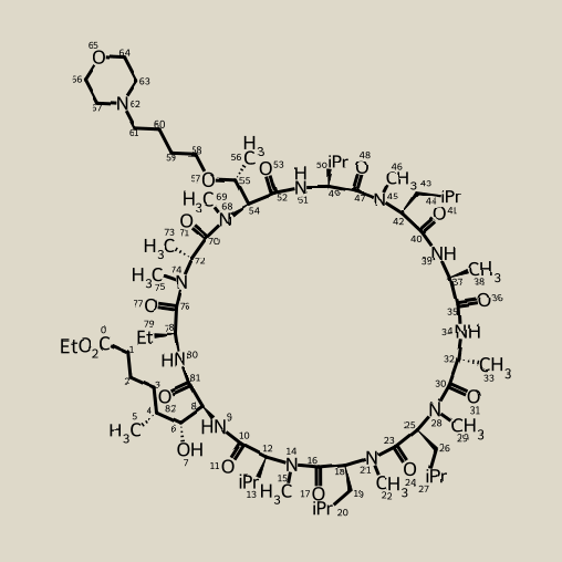 CCOC(=O)CCC[C@@H](C)[C@@H](O)[C@@H]1NC(=O)[C@H](C(C)C)N(C)C(=O)[C@H](CC(C)C)N(C)C(=O)[C@H](CC(C)C)N(C)C(=O)[C@@H](C)NC(=O)[C@H](C)NC(=O)[C@H](CC(C)C)N(C)C(=O)[C@H](C(C)C)NC(=O)[C@H]([C@@H](C)OCCCCN2CCOCC2)N(C)C(=O)[C@@H](C)N(C)C(=O)[C@H](CC)NC1=O